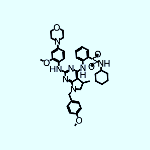 COc1ccc(CN2CC(C)c3c(Nc4ccccc4S(=O)(=O)NC4CCCCC4)nc(Nc4ccc(N5CCOCC5)cc4OC)nc32)cc1